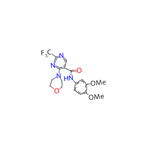 COc1ccc(NC(=O)c2cnc(C(F)(F)F)nc2N2CCOCC2)cc1OC